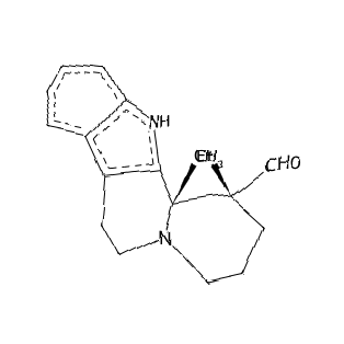 CC[C@@]1(C=O)CCCN2CCc3c([nH]c4ccccc34)[C@@]21C